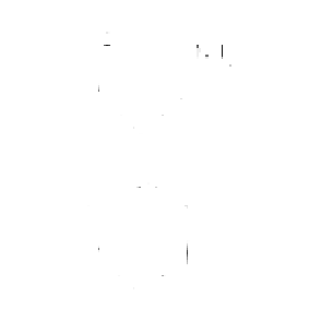 NCC([C]=O)C1CCCCC1